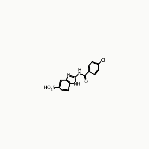 O=C(Nc1nc2cc(S(=O)(=O)O)ccc2[nH]1)c1ccc(Cl)cc1